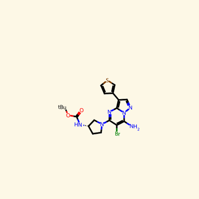 CC(C)(C)OC(=O)N[C@H]1CCN(c2nc3c(-c4ccsc4)cnn3c(N)c2Br)C1